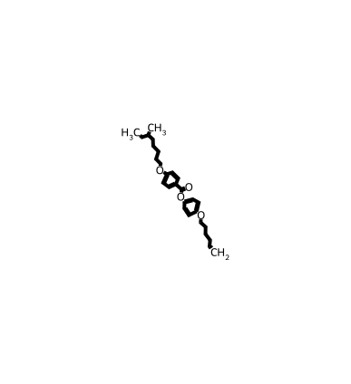 C=CCCCCOc1ccc(OC(=O)c2ccc(OCCCCCC(C)CC)cc2)cc1